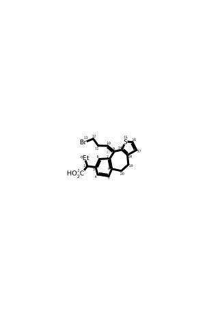 CCC(C(=O)O)c1ccc2c(c1)/C(=C\CCBr)c1sccc1CC2